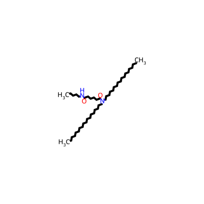 CCCCCCCCCCCCCCCCCCN(CCCCCCCCCCCCCCCCCC)C(=O)CCCCC(=O)NCCCCC